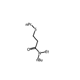 CCCCN(CC)C(=O)CCSCCC